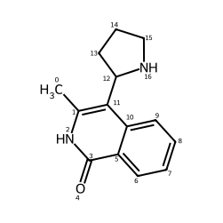 Cc1[nH]c(=O)c2ccccc2c1C1CCCN1